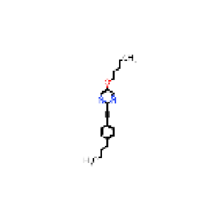 CCCCCOc1cnc(C#Cc2ccc(CCCC)cc2)nc1